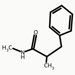 CNC(=O)C(C)Cc1ccccc1